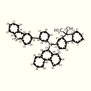 CC1(C)c2ccccc2-c2ccc(N(c3cccc(-c4ccc5sc6ccccc6c5c4)c3)c3cc4ccccc4c4ccccc34)cc21